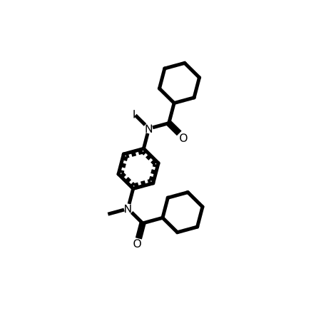 CN(C(=O)C1CCCCC1)c1ccc(N(I)C(=O)C2CCCCC2)cc1